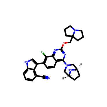 N#Cc1cccc2[nH]cc(-c3ccc4c(N5C[C@H]6CC[C@@H](C5)N6)nc(OCC56CCCN5CCC6)nc4c3F)c12